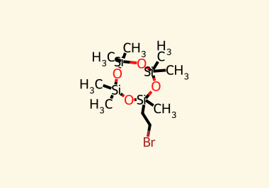 C[Si]1(C)O[Si](C)(C)O[Si](C)(CCBr)O[Si](C)(C)O1